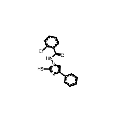 O=C(Nn1cc(-c2ccccc2)nc1S)c1ccccc1Cl